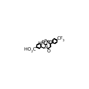 CCCCCNc1nc(-c2ccc(C(F)(F)F)cc2)cc(=O)n1Cc1cccc(C(=O)O)c1